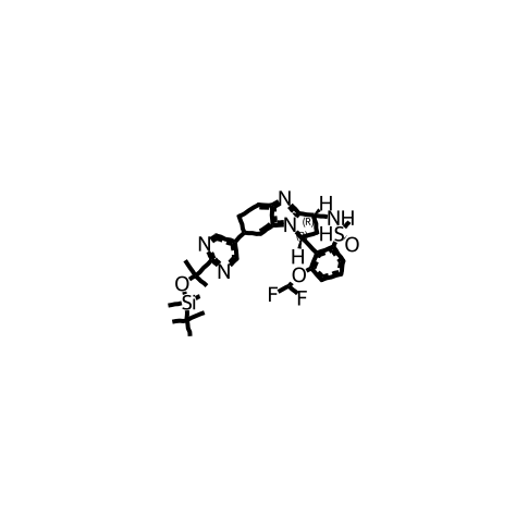 CC(C)(O[Si](C)(C)C(C)(C)C)c1ncc(C2C=c3c(nc4n3[C@@H]3C[C@H]4N[SH](C)(=O)c4cccc(OC(F)F)c43)=CC2)cn1